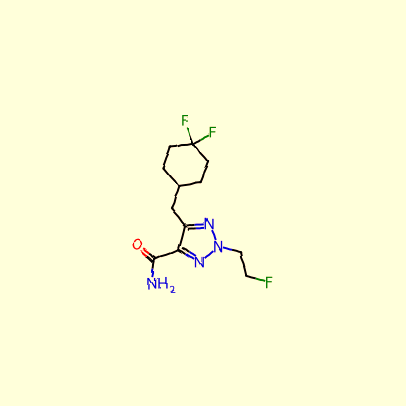 NC(=O)c1nn(CCF)nc1CC1CCC(F)(F)CC1